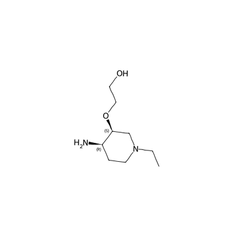 CCN1CC[C@@H](N)[C@@H](OCCO)C1